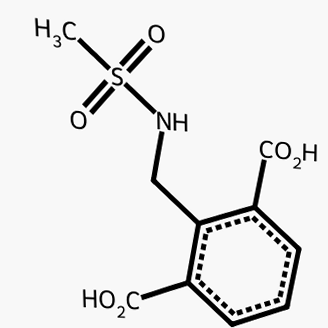 CS(=O)(=O)NCc1c(C(=O)O)cccc1C(=O)O